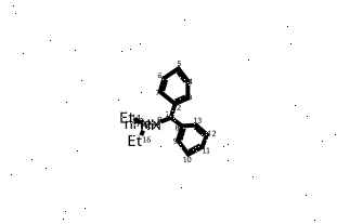 CCCCCCC(c1ccccc1)c1ccccc1.CCNCC